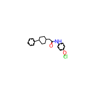 O=C(CC1CCC(c2ccccc2)CC1)Nc1ccc(OCl)cc1